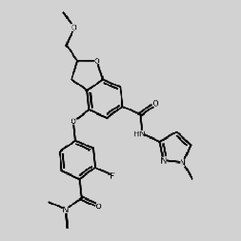 COCC1Cc2c(Oc3ccc(C(=O)N(C)C)c(F)c3)cc(C(=O)Nc3ccn(C)n3)cc2O1